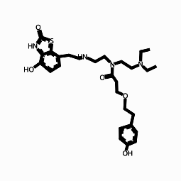 CCN(CC)CCN(CCNCCc1ccc(O)c2[nH]c(=O)sc12)C(=O)CCOCCc1ccc(O)cc1